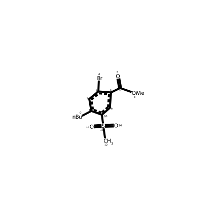 CCCCc1cc(Br)c(C(=O)OC)cc1S(C)(=O)=O